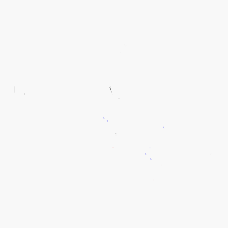 CCCCCN1C(=O)C(C2=NS(=O)(=O)c3ccccc3N2)=C(O)[C@@H]1Cc1ccccc1